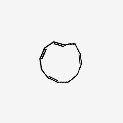 [CH]1/C=C\C/C=C\C=C\C/C=C\C1